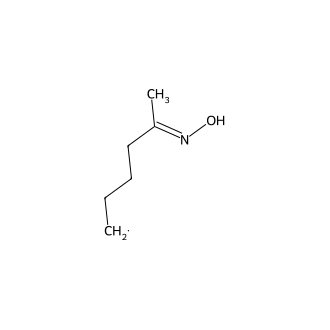 [CH2]CCCC(C)=NO